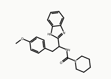 COc1ccc(CC(NC(=O)N2CCCCC2)c2nc3ccccc3[nH]2)cc1